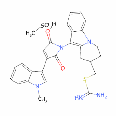 CS(=O)(=O)O.Cn1cc(C2=CC(=O)N(c3c4n(c5ccccc35)CCC(CSC(=N)N)C4)C2=O)c2ccccc21